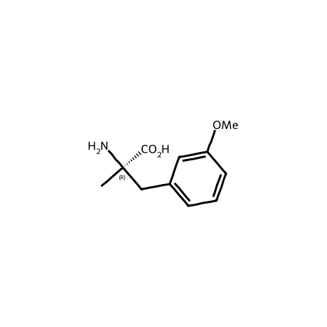 COc1cccc(C[C@@](C)(N)C(=O)O)c1